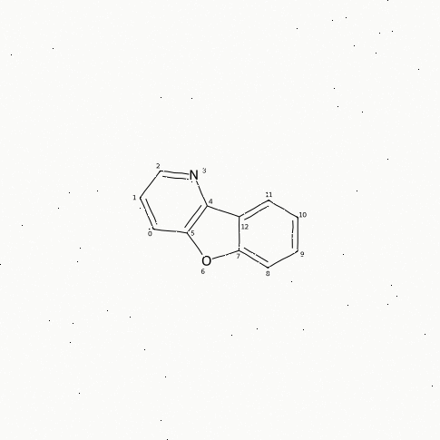 [c]1ccnc2c1oc1ccccc12